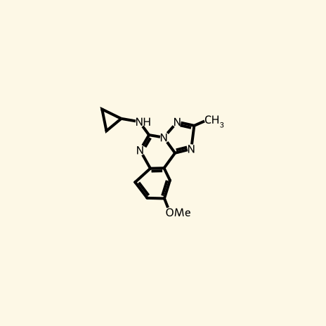 COc1ccc2nc(NC3CC3)n3nc(C)nc3c2c1